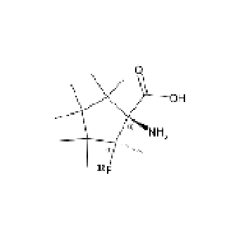 CC1(C)C(C)(C)[C@](C)([18F])[C@@](N)(C(=O)O)C1(C)C